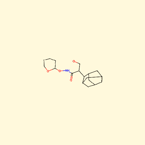 [O]CC(C(=O)NOC1CCCCO1)C1C2CC3CC(C2)CC1C3